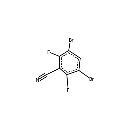 N#Cc1c(F)c(Br)cc(Br)c1F